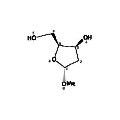 CO[C@H]1C[C@H](O)[C@H](CO)O1